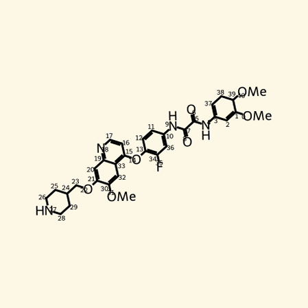 COC1=CC(NC(=O)C(=O)Nc2ccc(Oc3ccnc4cc(OCC5CCNCC5)c(OC)cc34)c(F)c2)=CCC1OC